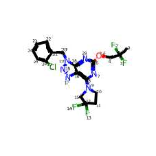 CC(F)(F)COc1nc(N2CCC(F)(F)C2)c2nnn(Cc3ccccc3Cl)c2n1